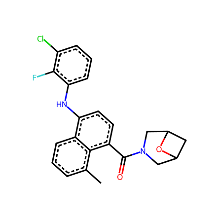 Cc1cccc2c(Nc3cccc(Cl)c3F)ccc(C(=O)N3CC4CC(C3)O4)c12